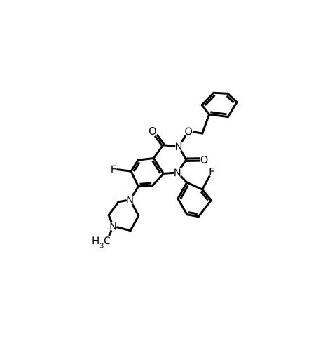 CN1CCN(c2cc3c(cc2F)c(=O)n(OCc2ccccc2)c(=O)n3-c2ccccc2F)CC1